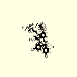 CCOc1cc(S(=O)(=O)NC(C)(C)C)ccc1C1=N[C@@](C)(c2ccc(Cl)cc2)[C@@](C)(c2ccc(Cl)cc2)N1C(=O)N1CCN(CCCS(C)(=O)=O)CC1